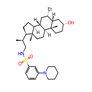 CC[C@H]1C[C@@H]2[C@H](CC[C@]3(C)[C@@H]([C@H](C)CNS(=O)(=O)c4cccc(N5CCCCC5)c4)CC[C@@H]23)[C@@]2(C)CC[C@@H](O)C[C@@H]12